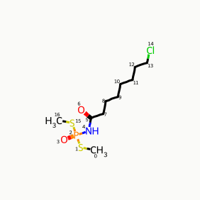 CSP(=O)(NC(=O)CCCCCCCCl)SC